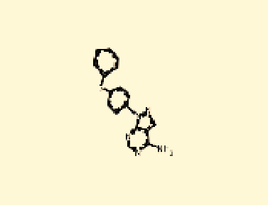 Nc1ncnc2c1cnn2-c1ccc(Sc2ccccc2)cc1